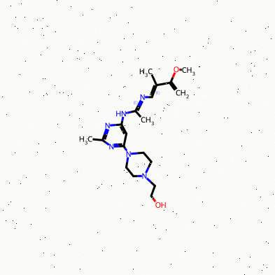 C=C(OC)/C(C)=C/N=C(\C)Nc1cc(N2CCN(CCO)CC2)nc(C)n1